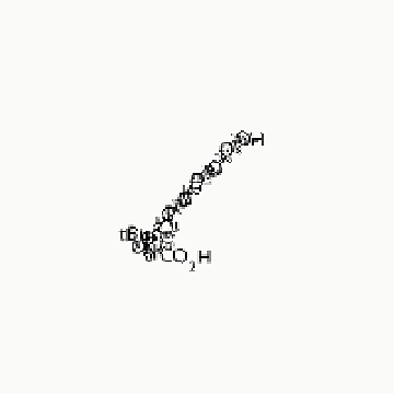 CN(C(=O)OC(C)(C)C)C(C(=O)O)C(C)(C)c1ccc(OCCOCCOCCOCCOCCO)cc1